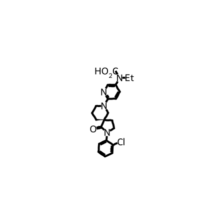 CCN(C(=O)O)c1ccc(N2CCC[C@]3(CCN(c4ccccc4Cl)C3=O)C2)nc1